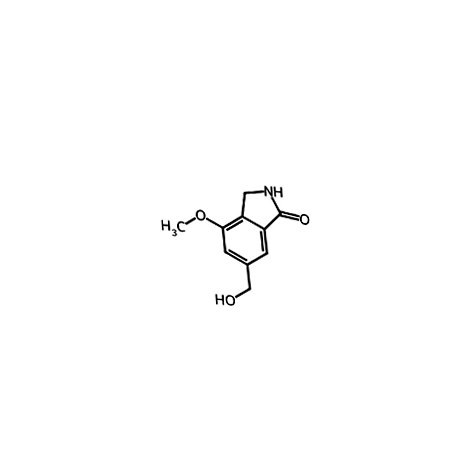 COc1cc(CO)cc2c1CNC2=O